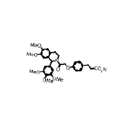 COc1cc2c(cc1OC)C(c1cc(OC)c(OC)c(OC)c1)N(C(=O)COc1ccc(CCC(=O)O)cc1)CC2